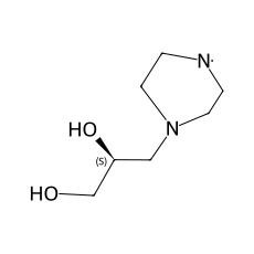 OC[C@@H](O)CN1CC[N]CC1